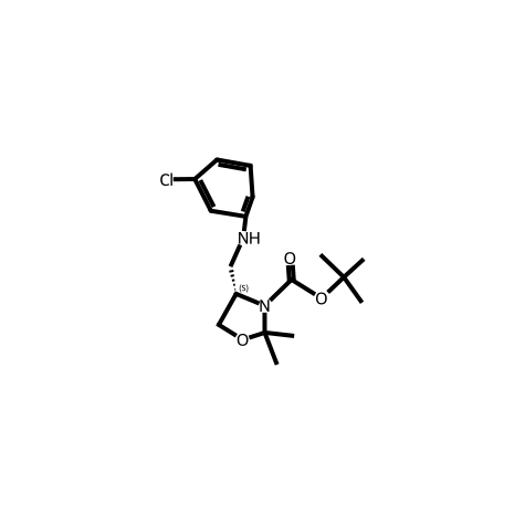 CC(C)(C)OC(=O)N1[C@@H](CNc2cccc(Cl)c2)COC1(C)C